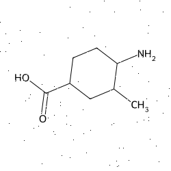 CC1CC(C(=O)O)CCC1N